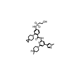 Cn1cc(-c2cc(NC(=O)c3ccc(NS(=O)(=O)CCO)cc3N3CCC4(CC3)CC4)nc(N3CCC(F)(F)CC3)c2)cn1